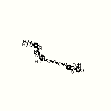 C[C@H]1CN(c2cc(-c3n[nH]c4ccc(OC(C)(C)C)cc34)ncn2)CCN1CCOCCOCCOCCOc1ccc2c(c1)C(=O)N(C1CCC(=O)NC1=O)C2=O